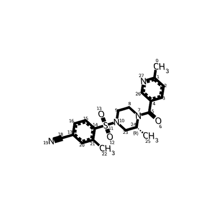 Cc1ccc(C(=O)N2CCN(S(=O)(=O)c3ccc(C#N)cc3C)C[C@H]2C)cn1